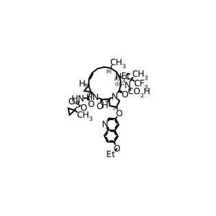 CCOc1ccc2ncc(O[C@@H]3C[C@H]4C(=O)N[C@]5(C(=O)NS(=O)(=O)C6(C)CC6)C[C@H]5C=CCC[C@@H](C)C[C@@H](CC)[C@H](N(C(=O)O)C(C)(C)C(F)(F)F)C(=O)N4C3)cc2c1